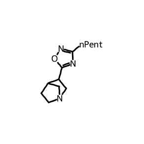 CCCCCc1noc(C2CN3CCC2C3)n1